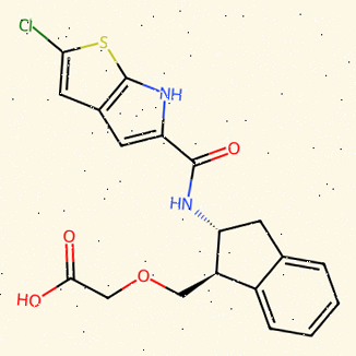 O=C(O)COC[C@@H]1c2ccccc2C[C@H]1NC(=O)c1cc2cc(Cl)sc2[nH]1